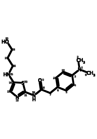 CN(C)c1ccc(CC(=O)Nc2ncc(NCCCO)s2)cc1